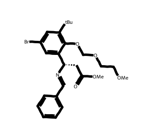 COCCOCOc1c([C@H](CC(=O)OC)/N=C/c2ccccc2)cc(Br)cc1C(C)(C)C